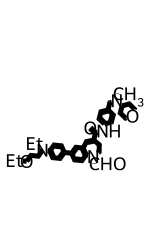 CCOCCN(CC)c1ccc(-c2ccc3c(c2)C=C(C(=O)Nc2ccc(CN(C)C4CCOCC4)cc2)CCN3C=O)cc1